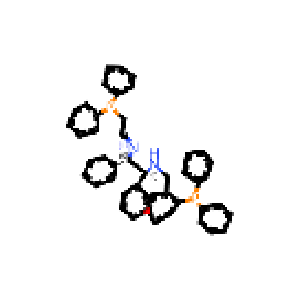 C(/CP(c1ccccc1)c1ccccc1)=N\[C@@H](c1ccccc1)[C@@H](NCc1ccccc1P(c1ccccc1)c1ccccc1)c1ccccc1